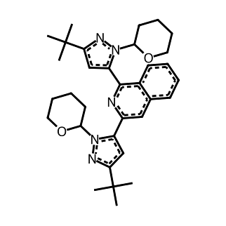 CC(C)(C)c1cc(-c2cc3ccccc3c(-c3cc(C(C)(C)C)nn3C3CCCCO3)n2)n(C2CCCCO2)n1